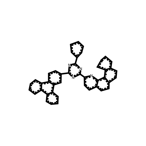 c1ccc(-c2nc(-c3ccc4c5ccccc5c5ccccc5c4c3)nc(-c3ccc4ccc5ccc6ccccc6c5c4n3)n2)cc1